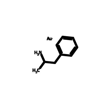 CC(N)Cc1ccccc1.[Au]